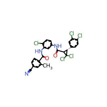 Cc1cc(C#N)ccc1C(=O)Nc1cc(NC(=O)C2[C@H](c3ccc(Cl)c(Cl)c3)C2(Cl)Cl)ccc1Cl